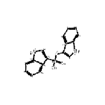 O=P(O)(Oc1c[nH]c2ccccc12)c1c[nH]c2ccccc12